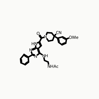 COc1cccc(C2(C#N)CCN(C(=O)c3cc4c(NCCNC(C)=O)nc(-c5ccccc5)nc4[nH]3)CC2)c1